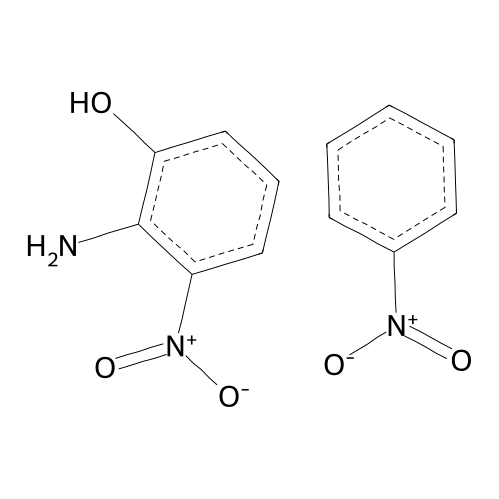 Nc1c(O)cccc1[N+](=O)[O-].O=[N+]([O-])c1ccccc1